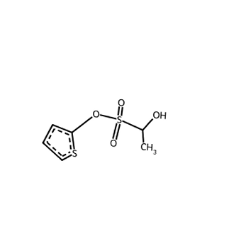 CC(O)S(=O)(=O)Oc1cccs1